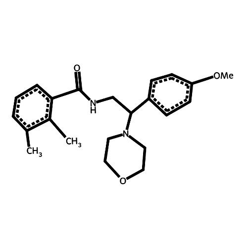 COc1ccc(C(CNC(=O)c2cccc(C)c2C)N2CCOCC2)cc1